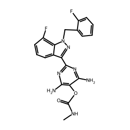 CNC(=O)Oc1c(N)nc(-c2nn(Cc3ccccc3F)c3c(F)cccc23)nc1N